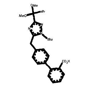 CCCC(OC)(OC)c1nc(Cc2ccc(-c3ccccc3C(=O)O)cc2)n(C(C)(C)C)n1